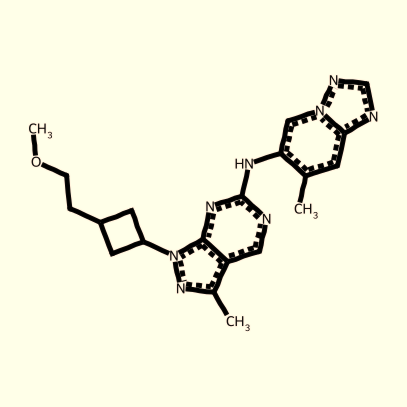 COCCC1CC(n2nc(C)c3cnc(Nc4cn5ncnc5cc4C)nc32)C1